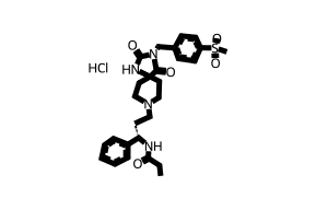 CCC(=O)N[C@@H](CCN1CCC2(CC1)NC(=O)N(Cc1ccc(S(C)(=O)=O)cc1)C2=O)c1ccccc1.Cl